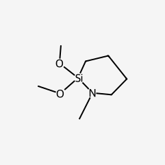 CO[Si]1(OC)CCCCN1C